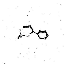 C=CC(O[PH](=O)O)c1ccccc1